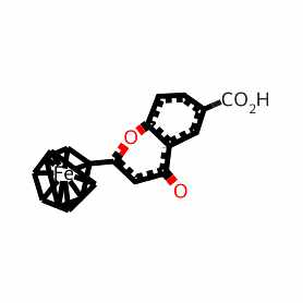 O=C(O)c1ccc2oc([C]34[CH]5[CH]6[CH]7[CH]3[Fe]6754389%10[CH]4[CH]3[CH]8[CH]9[CH]4%10)cc(=O)c2c1